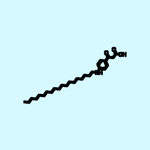 CCCCCCCCCCCCCCCCCCCNc1ccc(C(=O)CC(=O)O)cc1